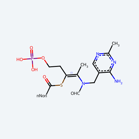 CCCCCCCCCC(=O)S/C(CCOP(=O)(O)O)=C(/C)N(C=O)Cc1cnc(C)nc1N